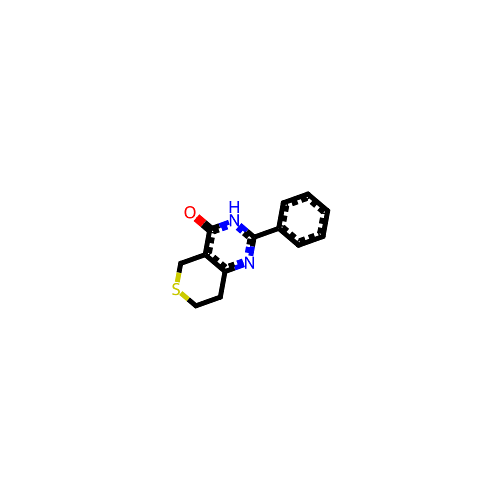 O=c1[nH]c(-c2ccccc2)nc2c1CSCC2